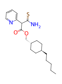 CCCCC[C@H]1CC[C@H](COC(=O)C(C(N)=S)c2ccccn2)CC1